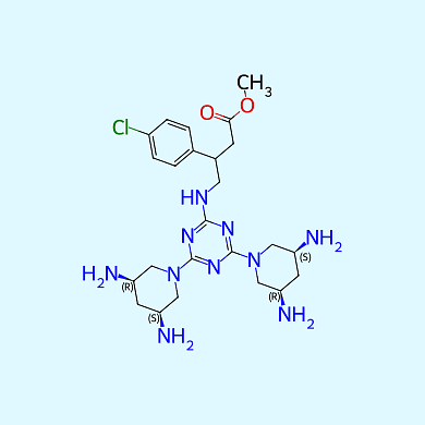 COC(=O)CC(CNc1nc(N2C[C@H](N)C[C@H](N)C2)nc(N2C[C@H](N)C[C@H](N)C2)n1)c1ccc(Cl)cc1